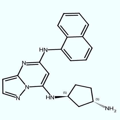 N[C@H]1CC[C@H](Nc2cc(Nc3cccc4ccccc34)nc3ccnn23)C1